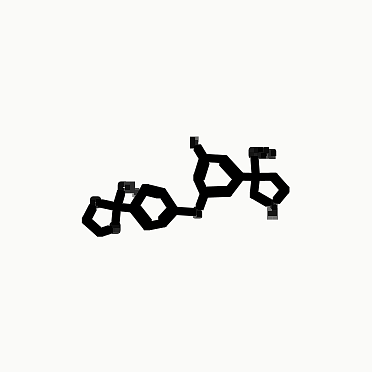 COC1(c2cc(F)cc(Sc3ccc(C4(C)OCCO4)cc3)c2)CCNC1